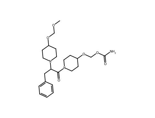 COCOC1CCN(C(Cc2ccccc2)C(=O)N2CCC(OCOC(N)=O)CC2)CC1